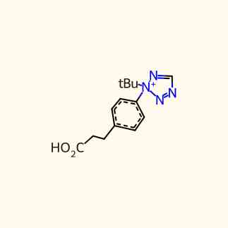 CC(C)(C)[N+]1(c2ccc(CCC(=O)O)cc2)N=CN=N1